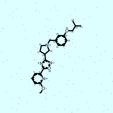 COc1cccc(-c2nc(C3CCN(Cc4cccc(OCC(C)C)c4)C3)no2)n1